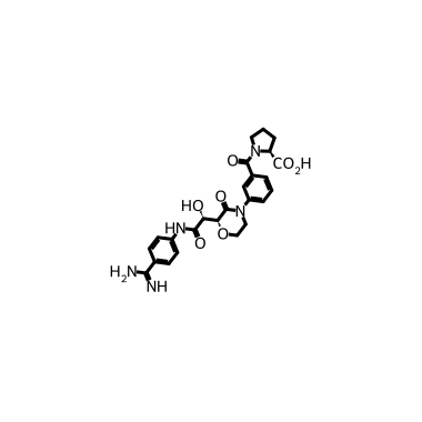 N=C(N)c1ccc(NC(=O)[C@H](O)[C@H]2OCCN(c3cccc(C(=O)N4CCC[C@H]4C(=O)O)c3)C2=O)cc1